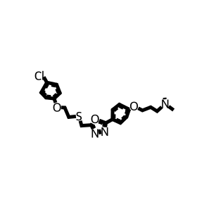 CN(C)CCCOc1ccc(-c2nnc(CSCCOc3ccc(Cl)cc3)o2)cc1